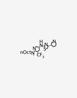 CCCCCCCCN(C)c1ncc(Nc2nc(-c3cccnc3)cs2)cc1C(F)(F)F